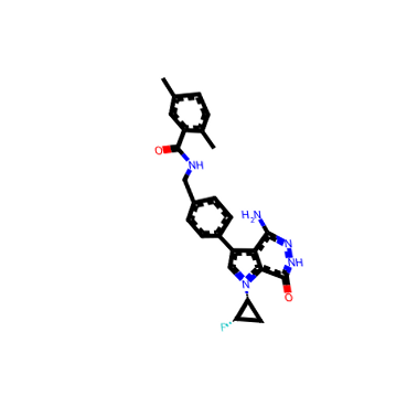 Cc1ccc(C)c(C(=O)NCc2ccc(-c3cn([C@@H]4C[C@@H]4F)c4c(=O)[nH]nc(N)c34)cc2)c1